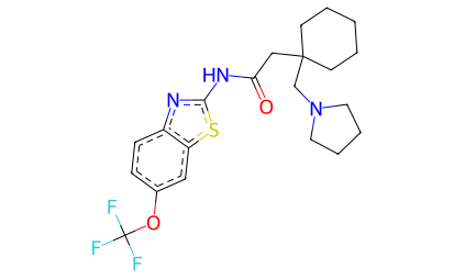 O=C(CC1(CN2CCCC2)CCCCC1)Nc1nc2ccc(OC(F)(F)F)cc2s1